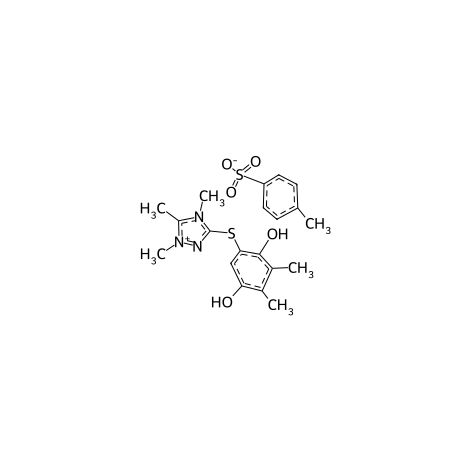 Cc1c(O)cc(Sc2n[n+](C)c(C)n2C)c(O)c1C.Cc1ccc(S(=O)(=O)[O-])cc1